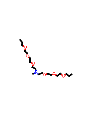 CCCOCCOCCOCCN(C)CCOCCOCCOCCC